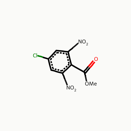 COC(=O)c1c([N+](=O)[O-])cc(Cl)cc1[N+](=O)[O-]